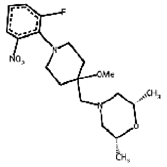 COC1(CN2C[C@@H](C)O[C@@H](C)C2)CCN(c2c(F)cccc2[N+](=O)[O-])CC1